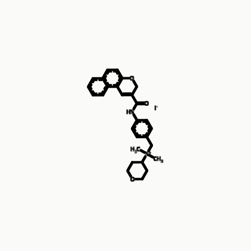 C[N+](C)(Cc1ccc(NC(=O)C2=Cc3c(ccc4ccccc34)OC2)cc1)C1CCOCC1.[I-]